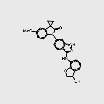 COc1ccc2c(c1)C1(CC1)C(=O)N2c1ccc2c(Nc3cccc4c3OCC4O)n[nH]c2c1